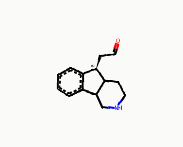 O=CC[C@@H]1c2ccccc2C2CNCCC21